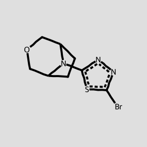 Brc1nnc(N2C3CCC2COC3)s1